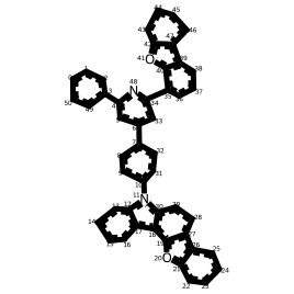 c1ccc(-c2cc(-c3ccc(-n4c5ccccc5c5c6oc7ccccc7c6ccc54)cc3)cc(-c3cccc4c3oc3ccccc34)n2)cc1